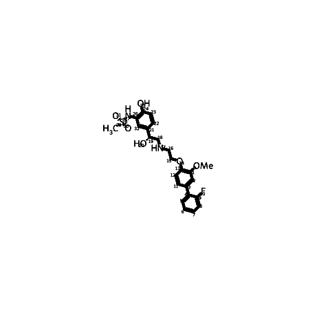 COc1cc(-c2ccccc2F)ccc1OCCNC[C@H](O)c1ccc(O)c(NS(C)(=O)=O)c1